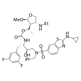 CCN[C@H]1CO[C@H](OC)[C@@H]1[C@H](C)OC(=O)N[C@@H](Cc1cc(F)cc(F)c1)[C@H](O)CN(CC(C)C)S(=O)(=O)c1ccc2nc(NC3CC3)sc2c1